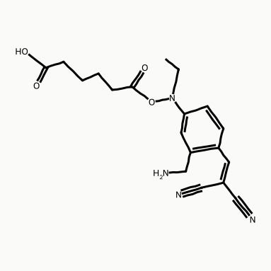 CCN(OC(=O)CCCCC(=O)O)c1ccc(C=C(C#N)C#N)c(CN)c1